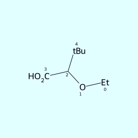 CCOC(C(=O)O)C(C)(C)C